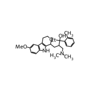 CCC(O)(c1ccccc1C)C(CC1OCCc2c1[nH]c1ccc(OC)cc21)CN(C)C